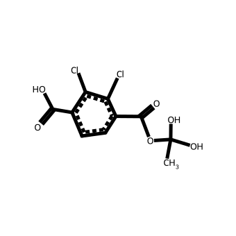 CC(O)(O)OC(=O)c1ccc(C(=O)O)c(Cl)c1Cl